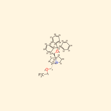 FC(F)(F)COC[C@@H]1CC[C@]2(COC(c3ccccc3)(c3ccccc3)c3ccccc3)CCCN12